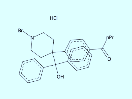 CCCC(=O)c1ccc(C2(C(O)(c3ccccc3)c3ccccc3)CCN(Br)CC2)cc1.Cl